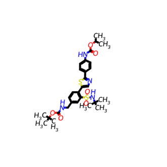 CC(C)OC(=O)Nc1ccc(-c2ncc(-c3ccc(CNC(=O)OC(C)(C)C)cc3S(=O)(=O)NC(C)(C)C)s2)cc1